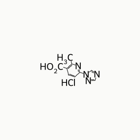 Cc1nc(-n2cncn2)ccc1C(=O)O.Cl